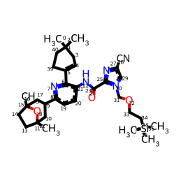 CC1(C)CC=C(c2nc(C3CC4(C)CCC(C)(C3)O4)ccc2NC(=O)c2nc(C#N)cn2COCC[Si](C)(C)C)CC1